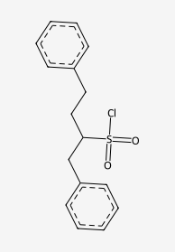 O=S(=O)(Cl)C(CCc1ccccc1)Cc1ccccc1